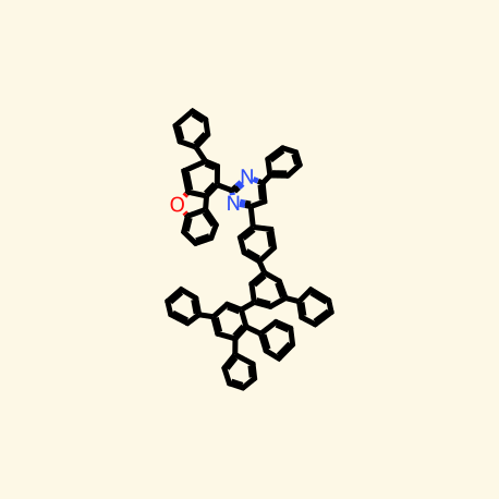 c1ccc(-c2cc(-c3ccc(-c4cc(-c5ccccc5)nc(-c5cc(-c6ccccc6)cc6oc7ccccc7c56)n4)cc3)cc(-c3cc(-c4ccccc4)cc(-c4ccccc4)c3-c3ccccc3)c2)cc1